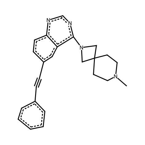 CN1CCC2(CC1)CN(c1ncnc3ccc(C#Cc4ccccc4)cc13)C2